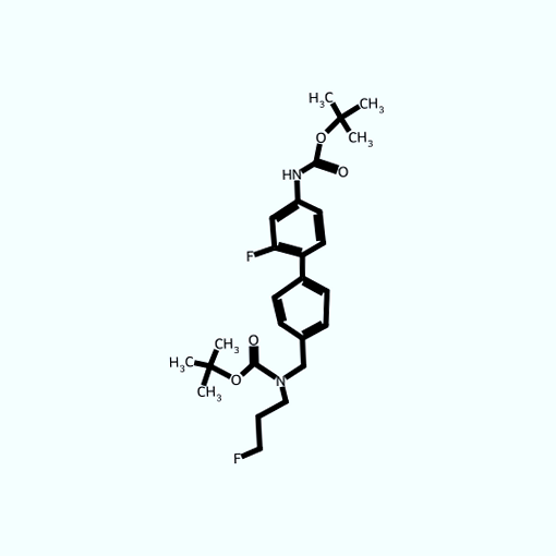 CC(C)(C)OC(=O)Nc1ccc(-c2ccc(CN(CCCF)C(=O)OC(C)(C)C)cc2)c(F)c1